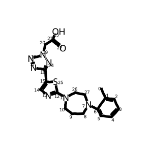 Cc1ccccc1N1CCCN(c2ncc(-c3nnn(CC(=O)O)n3)s2)CC1